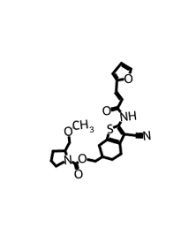 COCC1CCCN1C(=O)OCC1CCc2c(sc(NC(=O)C=Cc3ccco3)c2C#N)C1